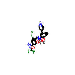 CCS(=O)(=O)N(Cc1ccc(-c2nnc(C(F)F)o2)cc1F)c1cccc(C2CCN(C)CC2)c1